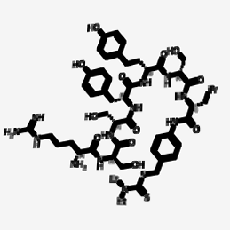 CCN(CC)C(=S)SCc1ccc(NC(=O)[C@@H](CC(C)C)NC(=O)[C@@H](CO)NC(=O)[C@@H](CCc2ccc(O)cc2)NC(=O)[C@@H](Cc2ccc(O)cc2)NC(=O)[C@@H](CO)NC(=O)[C@@H](CO)NC(=O)[C@H](N)CCCNC(=N)N)cc1